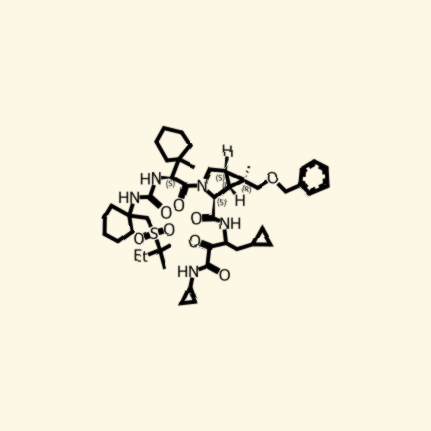 CCC(C)(C)S(=O)(=O)CC1(NC(=O)N[C@H](C(=O)N2C[C@H]3[C@@H]([C@H]2C(=O)NC(CC2CC2)C(=O)C(=O)NC2CC2)[C@]3(C)COCc2ccccc2)C2(C)CCCCC2)CCCCC1